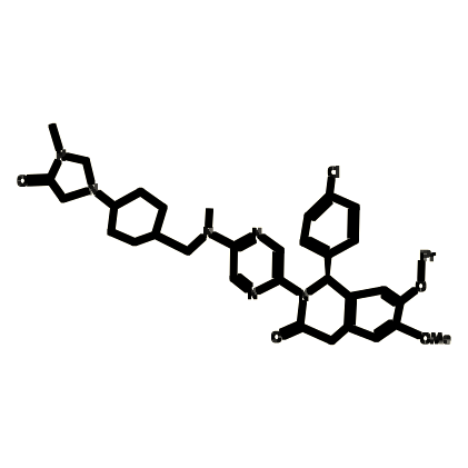 COc1cc2c(cc1OC(C)C)[C@H](c1ccc(Cl)cc1)N(c1cnc(N(C)CC3CCC(N4CC(=O)N(C)C4)CC3)cn1)C(=O)C2